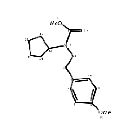 COC(=O)N(CCc1ccc(OC)cc1)C1CCCC1